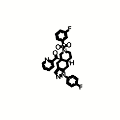 O=C(c1ccccn1)[C@]12Cc3cnn(-c4ccc(F)cc4)c3C[C@@H]1CCN(S(=O)(=O)c1cccc(F)c1)C2